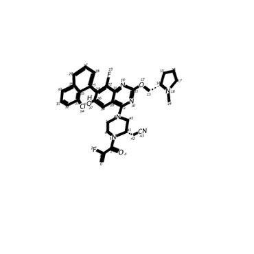 C=C(F)C(=O)N1CCN(c2nc(OC[C@@H]3CCCN3C)nc3c(F)c(-c4cccc5cccc(Cl)c45)c(O)cc23)C[C@@H]1CC#N